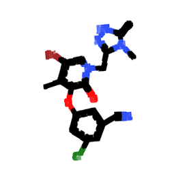 C=C1NN=C(Cn2cc(Br)c(C)c(Oc3cc(Cl)cc(C#N)c3)c2=O)N1C